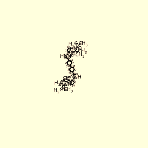 CC(C)C(NC(=O)N(C)C)C(=O)N1CC=C[C@H]1c1nc(-c2ccc(-c3ccc(-c4c[nH]c([C@@H]5CCCN5C(=O)[C@@H](NC(=O)N(C)C)C(C)C)n4)cc3)cc2)c[nH]1